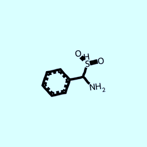 NC(c1ccccc1)[SH](=O)=O